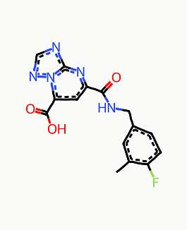 Cc1cc(CNC(=O)c2cc(C(=O)O)n3ncnc3n2)ccc1F